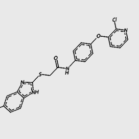 O=C(CSc1nc2cc(Cl)ccc2[nH]1)Nc1ccc(Oc2cccnc2Cl)cc1